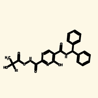 CCC(C)(O)C(=O)ONC(=O)c1ncc(C(=O)NC(c2ccccc2)c2ccccc2)c(O)n1